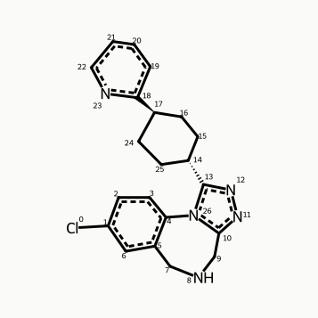 Clc1ccc2c(c1)CNCc1nnc([C@H]3CC[C@H](c4ccccn4)CC3)n1-2